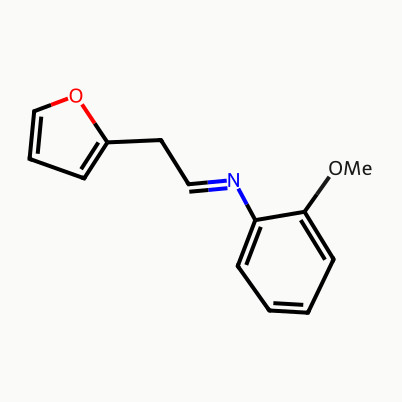 COc1ccccc1N=CCc1ccco1